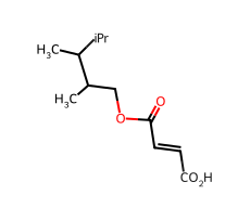 CC(C)C(C)C(C)COC(=O)C=CC(=O)O